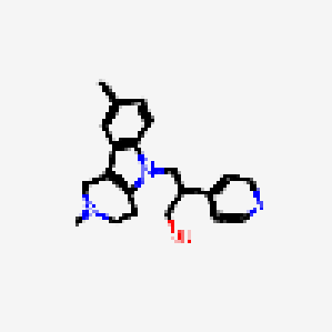 Cc1ccc2c(c1)c1c(n2CC(CO)c2ccncc2)CCN(C)C1